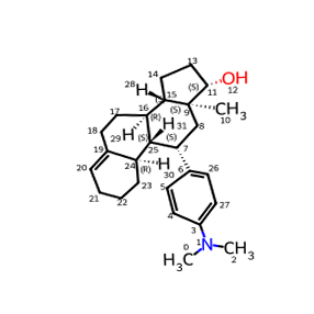 CN(C)c1ccc([C@H]2C[C@]3(C)[C@@H](O)CC[C@H]3[C@@H]3CCC4=CCCC[C@@H]4[C@H]32)cc1